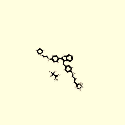 O=C(O)C(F)(F)F.c1ccc2c(Cc3ccc(OCCCc4nnn[nH]4)cc3)c(-c3ccc(OCCN4CCCC4)cc3)sc2c1